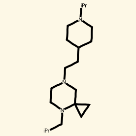 CC(C)CN1CCN(CCC2CCN(C(C)C)CC2)CC12CC2